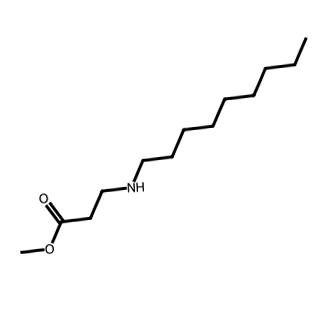 CCCCCCCCCNCCC(=O)OC